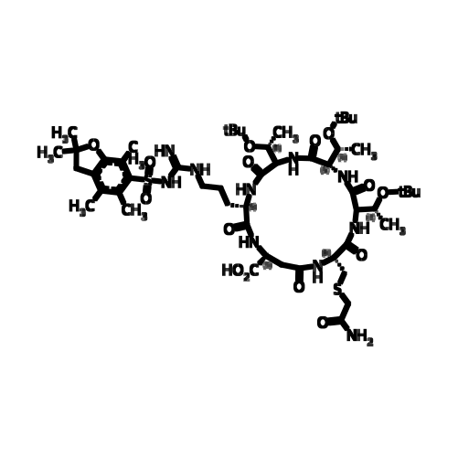 Cc1c(C)c(S(=O)(=O)NC(=N)NCCC[C@@H]2NC(=O)C([C@@H](C)OC(C)(C)C)NC(=O)[C@H]([C@@H](C)OC(C)(C)C)NC(=O)C([C@@H](C)OC(C)(C)C)NC(=O)[C@H](CSCC(N)=O)NC(=O)C[C@@H](C(=O)O)NC2=O)c(C)c2c1CC(C)(C)O2